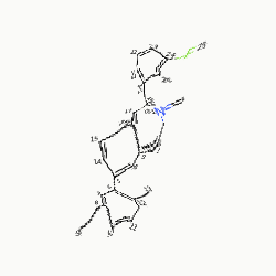 C=N/C=c1/cc(-c2cc(C)ccc2C)cc/c1=C/C(=C)c1cccc(F)c1